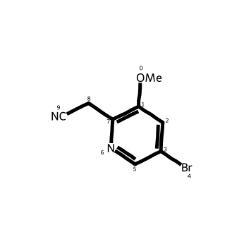 COc1cc(Br)cnc1CC#N